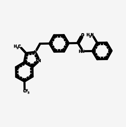 Cc1c2ccc(C(F)(F)F)cc2nn1Cc1ccc(C(=O)Nc2ccccc2N)cc1